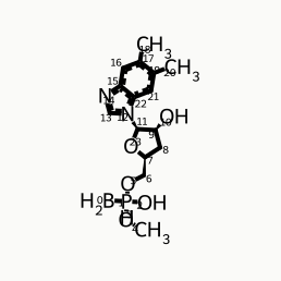 B[PH](O)(OC)OC[C@@H]1C[C@H](O)[C@H](n2cnc3cc(C)c(C)cc32)O1